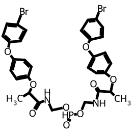 CC(Oc1ccc(Oc2ccc(Br)cc2)cc1)C(=O)NCO[PH](=O)OCNC(=O)C(C)Oc1ccc(Oc2ccc(Br)cc2)cc1